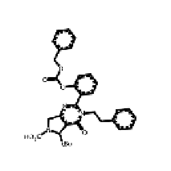 CC(C)(C)C1c2c(nc(-c3ccccc3OC(=O)OCc3ccccc3)n(CCc3ccccc3)c2=O)CN1C(=O)O